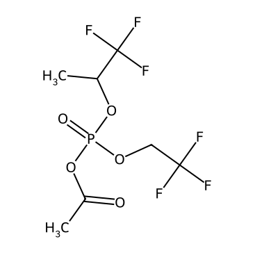 CC(=O)OP(=O)(OCC(F)(F)F)OC(C)C(F)(F)F